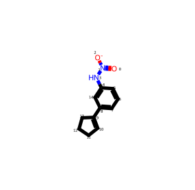 O=[N+]([O-])Nc1cccc(C2=CCCC2)c1